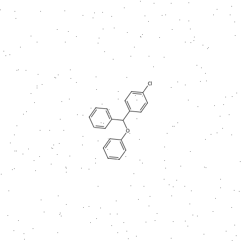 Clc1ccc(C(Oc2[c]cccc2)c2ccccc2)cc1